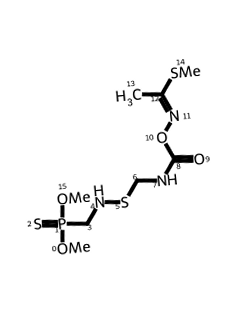 COP(=S)(CNSCNC(=O)ON=C(C)SC)OC